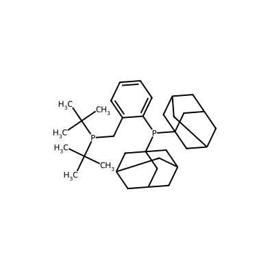 CC(C)(C)P(Cc1ccccc1P(C12CC3CC(CC(C3)C1)C2)C12CC3CC(CC(C3)C1)C2)C(C)(C)C